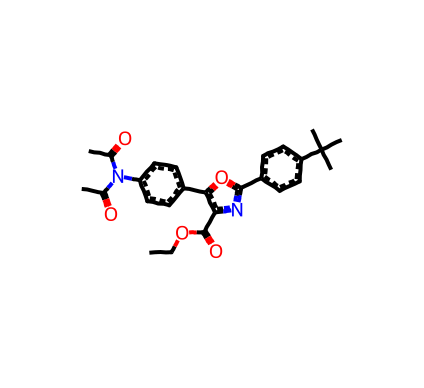 CCOC(=O)c1nc(-c2ccc(C(C)(C)C)cc2)oc1-c1ccc(N(C(C)=O)C(C)=O)cc1